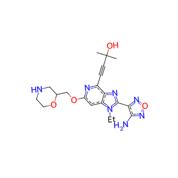 CCn1c(-c2nonc2N)nc2c(C#CC(C)(C)O)nc(OCC3CNCCO3)cc21